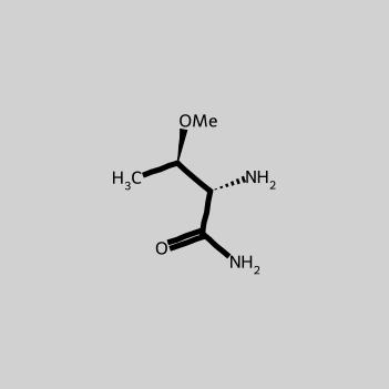 CO[C@H](C)[C@H](N)C(N)=O